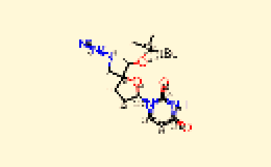 CC(C)(C)[Si](C)(C)OCC1(CN=[N+]=[N-])CC[C@H](n2ccc(=O)[nH]c2=O)O1